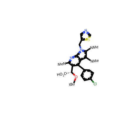 CNc1nc2c(c(NC)c(NC)n2Cc2cncs2)c(-c2ccc(Cl)cc2)c1[C@H](OC(C)(C)C)C(=O)O